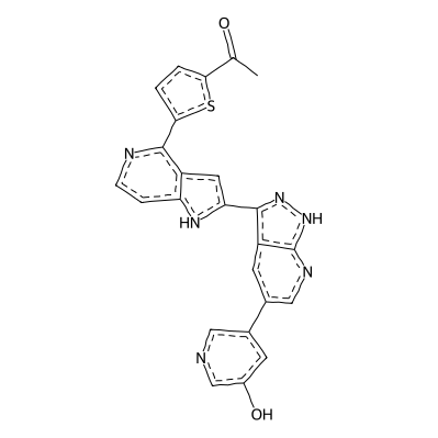 CC(=O)c1ccc(-c2nccc3[nH]c(-c4n[nH]c5ncc(-c6cncc(O)c6)cc45)cc23)s1